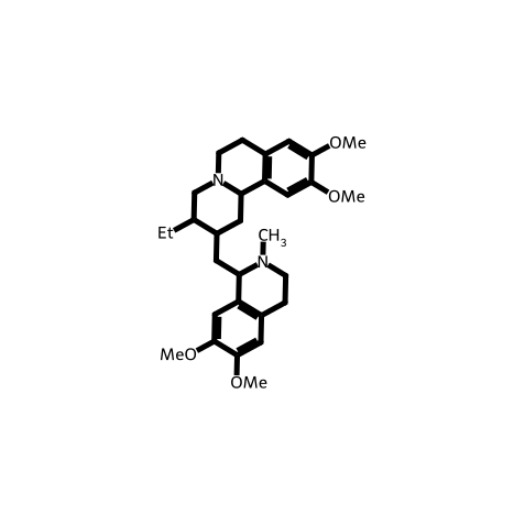 CCC1CN2CCc3cc(OC)c(OC)cc3C2CC1CC1c2cc(OC)c(OC)cc2CCN1C